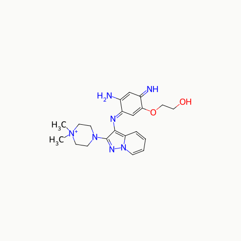 C[N+]1(C)CCN(c2nn3ccccc3c2/N=C2\C=C(OCCO)C(=N)C=C2N)CC1